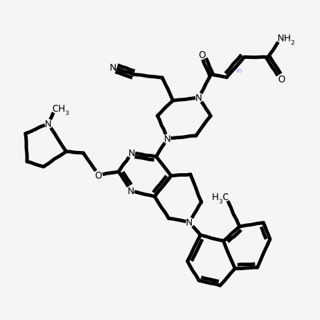 Cc1cccc2cccc(N3CCc4c(nc(OCC5CCCN5C)nc4N4CCN(C(=O)/C=C/C(N)=O)C(CC#N)C4)C3)c12